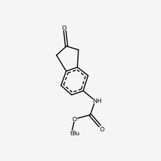 CC(C)(C)OC(=O)Nc1ccc2c(c1)CC(=O)C2